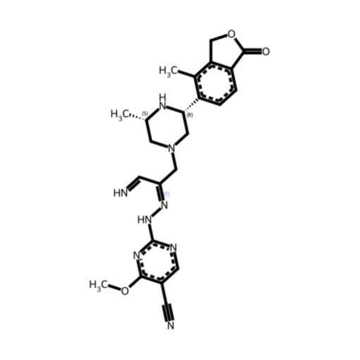 COc1nc(N/N=C(\C=N)CN2C[C@@H](c3ccc4c(c3C)COC4=O)N[C@@H](C)C2)ncc1C#N